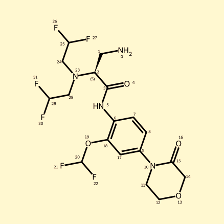 NC[C@@H](C(=O)Nc1ccc(N2CCOCC2=O)cc1OC(F)F)N(CC(F)F)CC(F)F